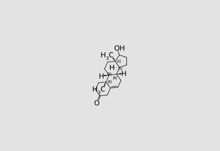 C[C@]12CCC(=O)CC1=CC[C@@H]1[C@H]2CC[C@]2(C)C(O)CC[C@@H]12